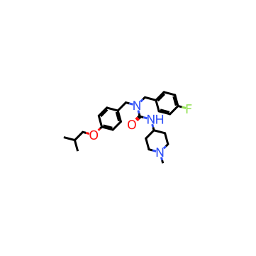 CC(C)COc1ccc(CN(Cc2ccc(F)cc2)C(=O)NC2CCN(C)CC2)cc1